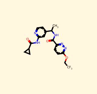 CC(NC(=O)c1ccc(OCC(F)(F)F)nn1)c1ccnc(NC(=O)C2CC2)c1